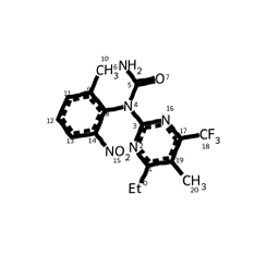 CCc1nc(N(C(N)=O)c2c(C)cccc2[N+](=O)[O-])nc(C(F)(F)F)c1C